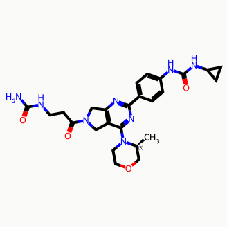 C[C@H]1COCCN1c1nc(-c2ccc(NC(=O)NC3CC3)cc2)nc2c1CN(C(=O)CCNC(N)=O)C2